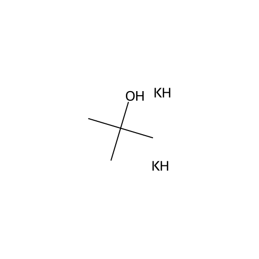 CC(C)(C)O.[KH].[KH]